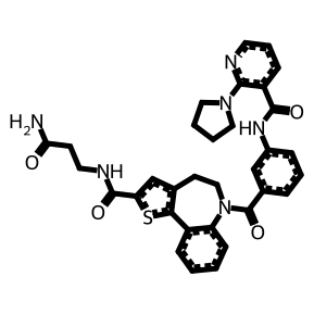 NC(=O)CCNC(=O)c1cc2c(s1)-c1ccccc1N(C(=O)c1cccc(NC(=O)c3cccnc3N3CCCC3)c1)CC2